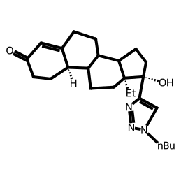 CCCCn1cc([C@]2(O)CCC3C4CCC5=CC(=O)CC[C@@H]5C4CC[C@@]32CC)nn1